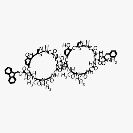 C[C@@H]1NC(=O)[C@H](C)NC(=O)[C@@H](NC(=O)OCC2c3ccccc3-c3ccccc32)Cc2ccc(O)c(c2)Cc2cnc(s2)NCC(=O)NC[C@@H](C(=O)N[C@H]2Cc3ccc(O)c(c3)Cc3cnc(s3)NCC(=O)NC[C@@H](C(=O)N[C@@H](Cc3ccccc3)C(N)=O)NC(=O)CNC(=O)[C@H](C)NC(=O)[C@H](C)NC2=O)NC(=O)CNC1=O